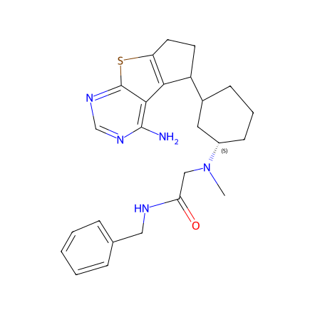 CN(CC(=O)NCc1ccccc1)[C@H]1CCCC(C2CCc3sc4ncnc(N)c4c32)C1